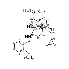 CCc1ccccc1CN[C@@H]1CC[C@@]2(O)[C@H]3Cc4ccc(O)c5c4[C@@]2(CCN3CC2CC2)[C@H]1O5